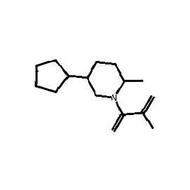 C=C(C)C(=C)N1CC(C2CCCC2)CCC1C